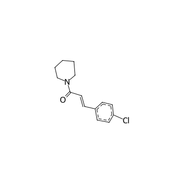 O=C(C=Cc1ccc(Cl)cc1)N1CCCCC1